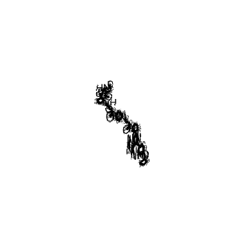 Nc1ncnc2c1c(-c1ccc(Oc3ccccc3)cc1)nn2[C@@H]1CCCN(C(=O)CCCN2CCN(C(=O)COCCNc3cccc4c3C(=O)N(C3CCC(=O)NC3=O)C4=O)CC2)C1